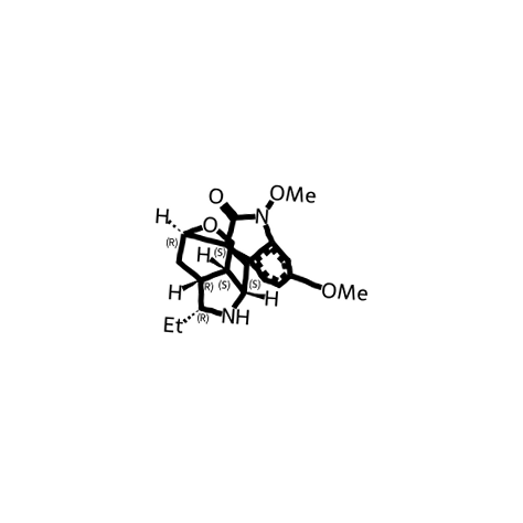 CC[C@H]1N[C@H]2C[C@@]3(C(=O)N(OC)c4cc(OC)ccc43)[C@H]3C[C@@H]1[C@@H]2CO3